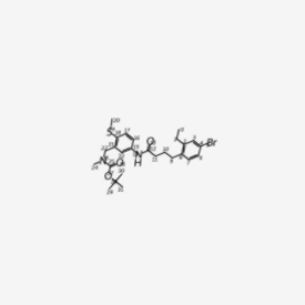 CCc1cc(Br)ccc1CCCC(=O)Nc1ccc(SI)c(CN(C)C(=O)OC(C)(C)C)c1